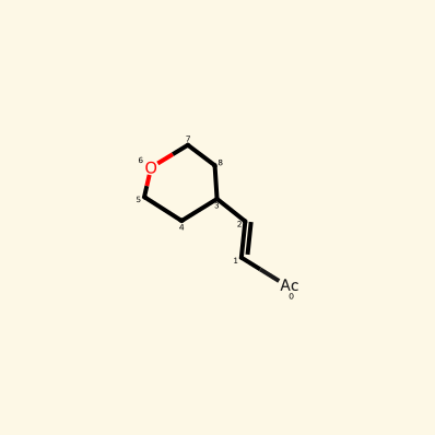 CC(=O)/C=C/C1CCOCC1